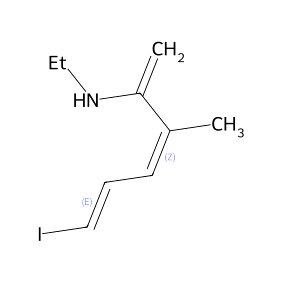 C=C(NCC)/C(C)=C\C=C\I